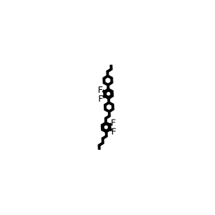 CCCCCc1ccc(CCC2CCC(c3ccc(C4CCC(CCC)CC4)c(F)c3F)CC2)c(F)c1F